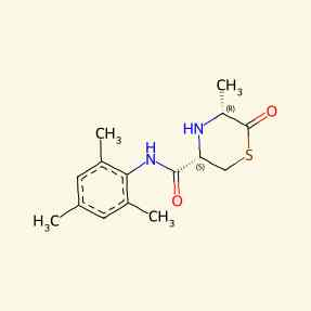 Cc1cc(C)c(NC(=O)[C@H]2CSC(=O)[C@@H](C)N2)c(C)c1